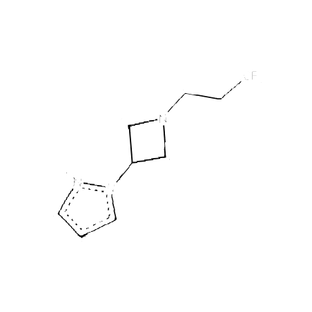 FC(F)(F)CCN1CC(n2c[c]cn2)C1